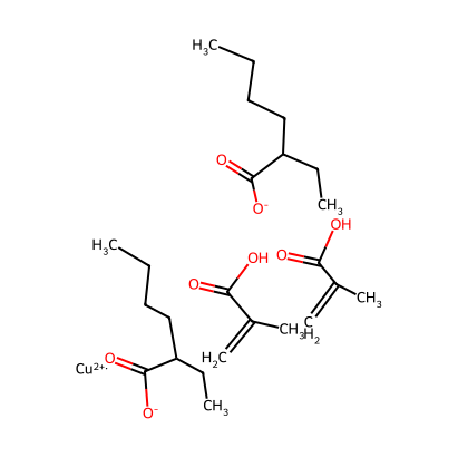 C=C(C)C(=O)O.C=C(C)C(=O)O.CCCCC(CC)C(=O)[O-].CCCCC(CC)C(=O)[O-].[Cu+2]